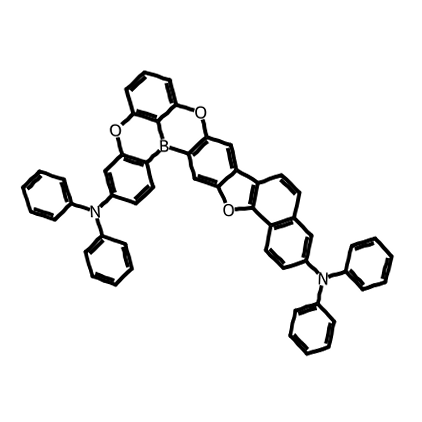 c1ccc(N(c2ccccc2)c2ccc3c(c2)Oc2cccc4c2B3c2cc3oc5c6ccc(N(c7ccccc7)c7ccccc7)cc6ccc5c3cc2O4)cc1